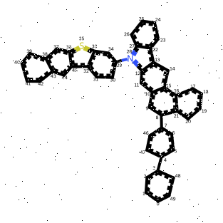 c1ccc(-c2ccc(-c3cc4cc5c(cc4c4ccccc34)c3ccccc3n5-c3ccc4c(c3)sc3cc5ccccc5cc34)cc2)cc1